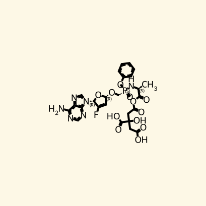 C[C@H](N[P@](=O)(CO[C@@H]1C=C(F)[C@H](n2cnc3c(N)ncnc32)O1)Oc1ccccc1)C(=O)OC(=O)CC(O)(CC(=O)O)C(=O)O